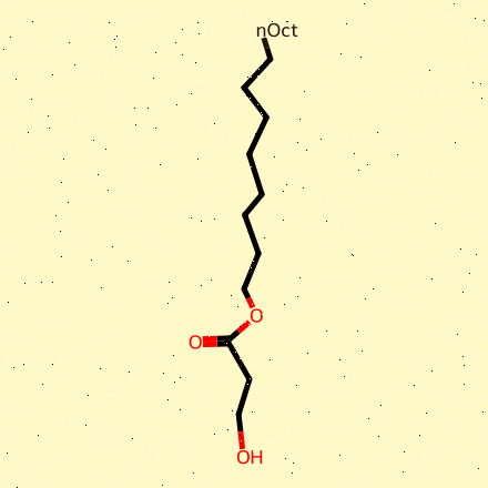 CCCCCCCCCCCCCCCCOC(=O)CCO